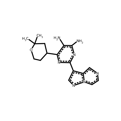 CC1(C)CC(c2nc(-c3cnn4ccncc34)nc(N)c2N)CCO1